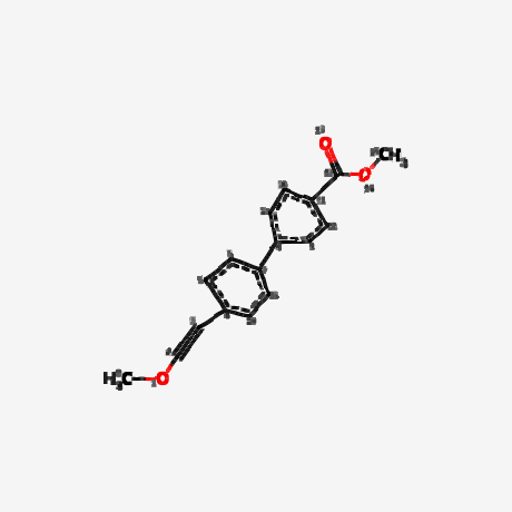 COC#Cc1ccc(-c2ccc(C(=O)OC)cc2)cc1